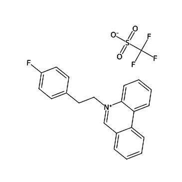 Fc1ccc(CC[n+]2cc3ccccc3c3ccccc32)cc1.O=S(=O)([O-])C(F)(F)F